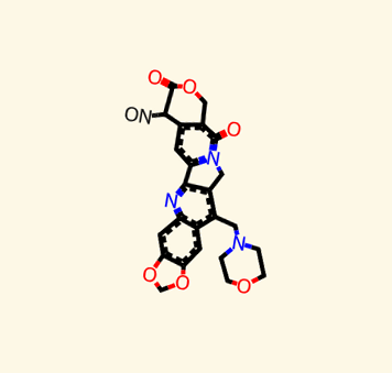 O=NC1C(=O)OCc2c1cc1n(c2=O)Cc2c-1nc1cc3c(cc1c2CN1CCOCC1)OCO3